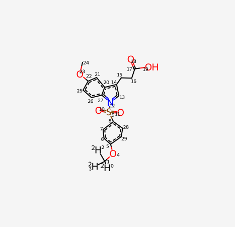 [2H]C([2H])([2H])Oc1ccc(S(=O)(=O)n2cc(CCC(=O)O)c3cc(OC)ccc32)cc1